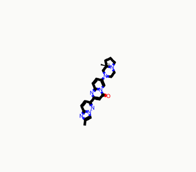 Cc1cn2nc(-c3cc(=O)n4cc(N5CCN6CCC[C@@]6(C)C5)ccc4n3)ccc2n1